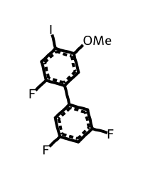 COc1cc(-c2cc(F)cc(F)c2)c(F)cc1I